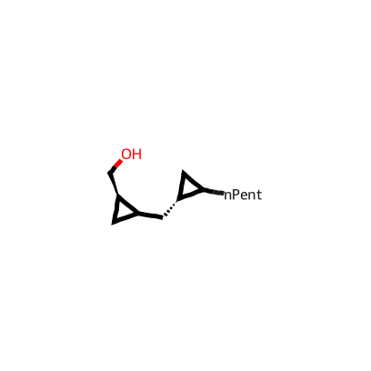 CCCCCC1C[C@H]1CC1C[C@H]1CO